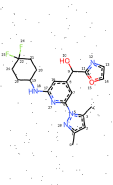 Cc1cc(C)n(-c2cc(C(O)c3ncco3)cc(NC3CCC(F)(F)CC3)n2)n1